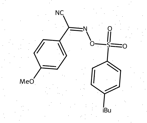 CCC(C)c1ccc(S(=O)(=O)ON=C(C#N)c2ccc(OC)cc2)cc1